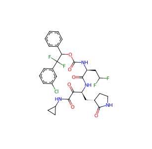 O=C(N[C@@H](CC(F)F)C(=O)N[C@@H](C[C@@H]1CCNC1=O)C(=O)C(=O)NC1CC1)OC(c1ccccc1)C(F)(F)c1cccc(Cl)c1